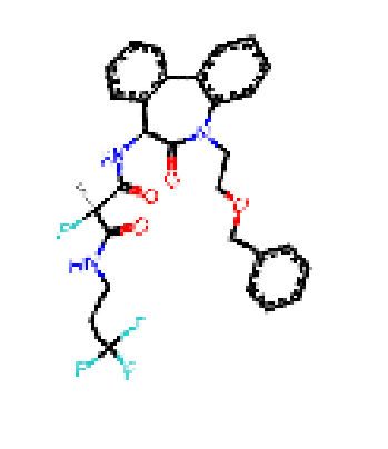 C[C@@](F)(C(=O)NCCC(F)(F)F)C(=O)N[C@@H]1C(=O)N(CCOCc2ccccc2)c2ccccc2-c2ccccc21